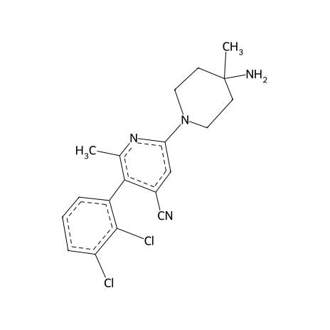 Cc1nc(N2CCC(C)(N)CC2)cc(C#N)c1-c1cccc(Cl)c1Cl